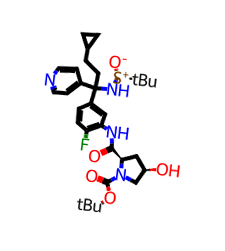 CC(C)(C)OC(=O)N1C[C@H](O)C[C@@H]1C(=O)Nc1cc(C(CCC2CC2)(N[S@+]([O-])C(C)(C)C)c2ccncc2)ccc1F